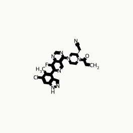 C=CC(=O)N1CCN(c2ncnc3c(F)c(-c4c(C)c(Cl)cc5[nH]ncc45)ncc23)C[C@@H]1CC#N